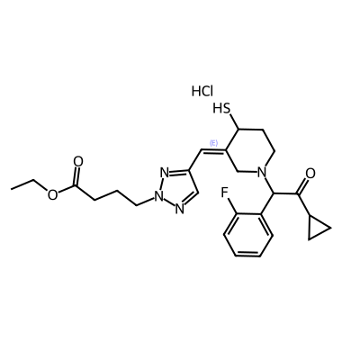 CCOC(=O)CCCn1ncc(/C=C2\CN(C(C(=O)C3CC3)c3ccccc3F)CCC2S)n1.Cl